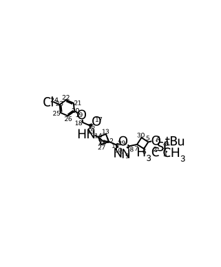 CC(C)(C)[Si](C)(C)OC1CC(c2nnc(C34CC(NC(=O)COc5ccc(Cl)cc5)(C3)C4)o2)C1